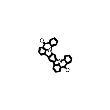 O=c1c2ccccc2n2c3cc4c(cc3c3cccc1c32)c1cccc2c(=O)c3ccccc3n4c21